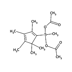 CC(=O)[O][Ti]([CH3])([O]C(C)=O)[C]1=C(C)C(C)=C(C)C1(C)C